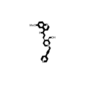 COc1ccc2nccc(C(F)CC[C@@H]3CCN(CC#Cc4ccncc4)C[C@@H]3CO)c2c1